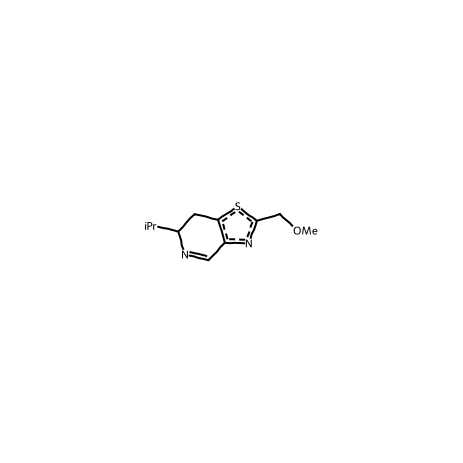 COCc1nc2c(s1)CC(C(C)C)N=C2